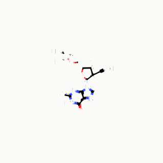 C#C[C@@]1(F)[C@H](C)[C@@H](CO[Si](C)(C)C(C)(C)C)O[C@H]1n1cnc2c(=O)[nH]c(C)nc21